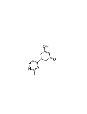 Cc1nccc(C2CC(=O)C=C(O)C2)n1